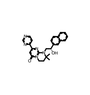 CC1(C)CCn2c(nc(-c3ccncn3)cc2=O)N1C[C@@H](O)c1ccc2ccccc2c1